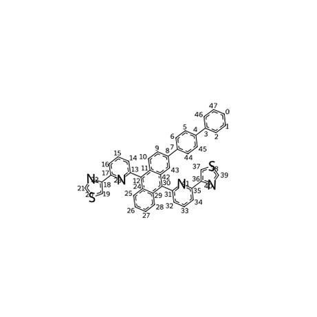 c1ccc(-c2ccc(-c3ccc4c(-c5cccc(-c6cscn6)n5)c5ccccc5c(-c5cccc(-c6cscn6)n5)c4c3)cc2)cc1